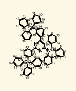 c1ccc(B2c3ccccc3-c3ccccc3N2c2cc(-c3cccc([Si](c4ccccc4)(c4ccccc4)c4ccccc4)c3)nc(-c3cccc([Si](c4ccccc4)(c4ccccc4)c4ccccc4)c3)n2)cc1